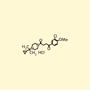 COc1ccc(C(=O)CCC(=O)N2CCN(C(C)(C)C3CC3)CC2)cc1Cl.Cl